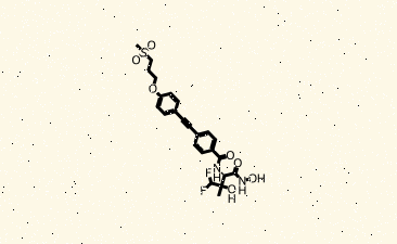 CC(O)(C(F)F)[C@H](NC(=O)c1ccc(C#Cc2ccc(OCCCS(C)(=O)=O)cc2)cc1)C(=O)NO